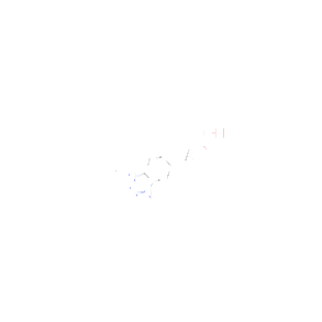 Cn1nnc2cc(/C=C/C(=O)O)cc(OC3CC3)c21